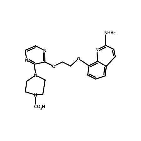 CC(=O)Nc1ccc2cccc(OCCOc3nccnc3N3CCN(C(=O)O)CC3)c2n1